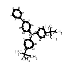 CC(C)(C)c1ccc(N(c2ccc(-c3ccccc3)cc2)c2ccc(C(C)(C)C)cc2)cc1